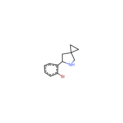 Brc1ccccc1C1CC2(CC2)CN1